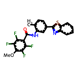 COc1c(F)c(F)c(C(=O)Nc2cc(-c3nc4ccccc4s3)ccc2C)c(F)c1F